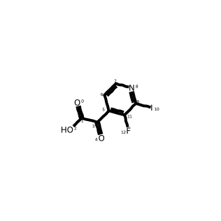 O=C(O)C(=O)c1ccnc(I)c1F